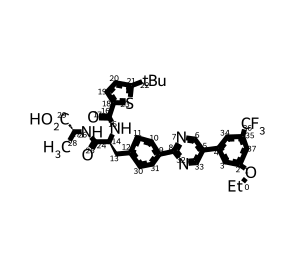 CCOc1cc(-c2cnc(-c3ccc(C[C@H](NC(=O)c4ccc(C(C)(C)C)s4)C(=O)N[C@H](C)C(=O)O)cc3)nc2)cc(C(F)(F)F)c1